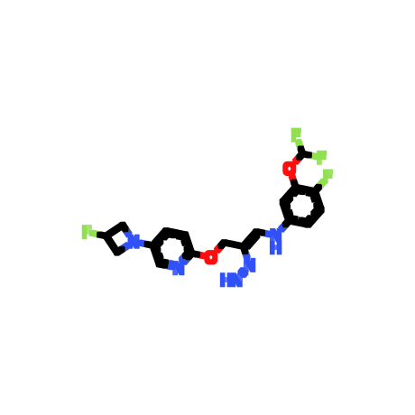 N=N/C(=C\Nc1ccc(F)c(OC(F)F)c1)COc1ccc(N2CC(F)C2)cn1